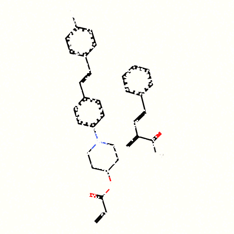 C=C(C=Cc1ccccc1)C(=O)OC.C=CC(=O)OC1CCN(c2ccc(C=Cc3ccc([N+](=O)[O-])cc3)cc2)CC1